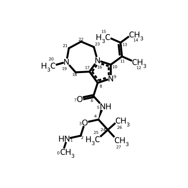 CNCO[C@@H](NC(=O)c1nc(C(C)=C(C)C)n2c1CN(C)CCC2)C(C)(C)C